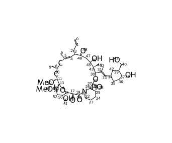 C=CC[C@@H]1/C=C(\C)C[C@H](C)C[C@H](OC)[C@H]2O[C@@](O)(C(=O)C(=O)N3CCCC[C@H]3C(=O)O[C@H](/C(C)=C/[C@@H]3CC[C@@H](O)[C@H](CO)C3)[C@H](C)C(O)CC1=O)[C@H](C)C[C@@H]2OC